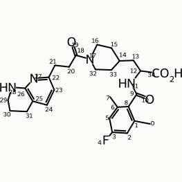 Cc1cc(F)cc(C)c1C(=O)NC(CC1CCN(C(=O)CCc2ccc3c(n2)NCCC3)CC1)C(=O)O